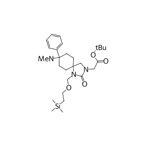 CNC1(c2ccccc2)CCC2(CC1)CN(CC(=O)OC(C)(C)C)C(=O)N2COCC[Si](C)(C)C